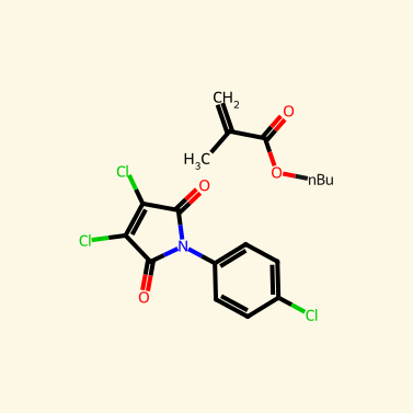 C=C(C)C(=O)OCCCC.O=C1C(Cl)=C(Cl)C(=O)N1c1ccc(Cl)cc1